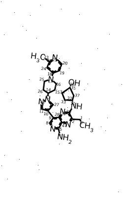 CCc1nc2c(N)ncc(-c3cnn(C4CCN(c5ccnc(C)c5)CC4)c3)c2nc1N[C@@H]1CC[C@H](O)C1